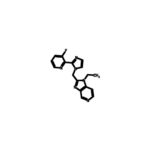 CCn1c(Cn2ccnc2-c2ncccc2F)nc2cnccc21